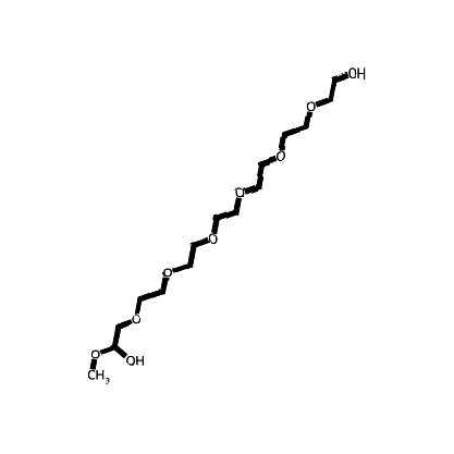 COC(O)COCCOCCOCCOCCOCCOCCO